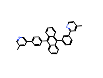 Cc1cncc(-c2ccc(-c3c4ccccc4c(-c4cccc(-c5cc(C)ccn5)c4)c4ccccc34)cc2)c1